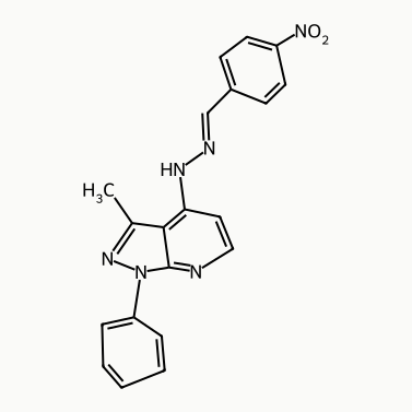 Cc1nn(-c2ccccc2)c2nccc(NN=Cc3ccc([N+](=O)[O-])cc3)c12